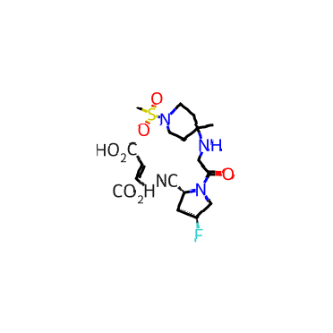 CC1(NCC(=O)N2C[C@@H](F)C[C@H]2C#N)CCN(S(C)(=O)=O)CC1.O=C(O)/C=C/C(=O)O